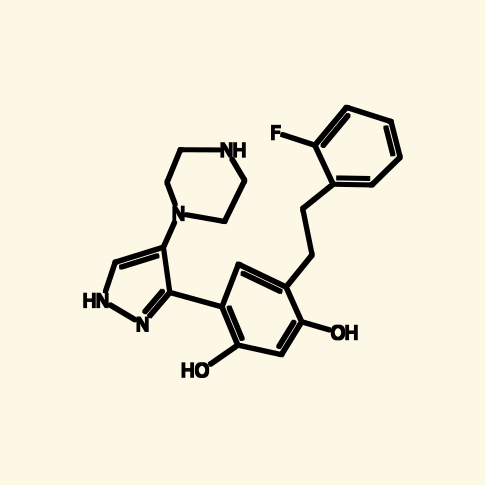 Oc1cc(O)c(-c2n[nH]cc2N2CCNCC2)cc1CCc1ccccc1F